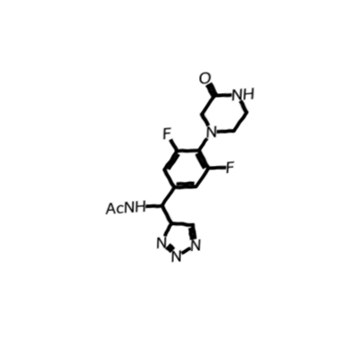 CC(=O)NC(c1cc(F)c(N2CCNC(=O)C2)c(F)c1)C1C=NN=N1